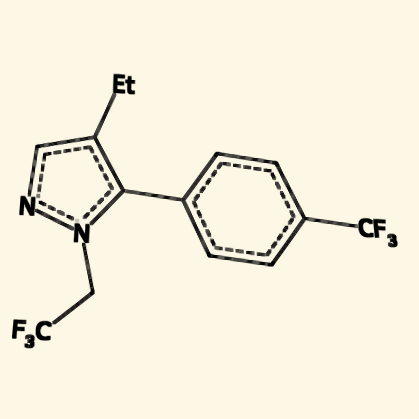 CCc1cnn(CC(F)(F)F)c1-c1ccc(C(F)(F)F)cc1